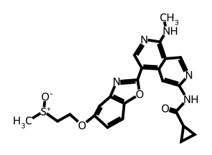 CNc1ncc(-c2nc3cc(OCC[S+](C)[O-])ccc3o2)c2cc(NC(=O)C3CC3)ncc12